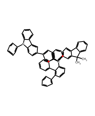 CC1(C)c2ccccc2-c2ccc(N(c3ccc(-c4ccc5c(c4)c4ccccc4n5-c4ccccc4)cc3)c3cccc(-c4ccccc4)c3-c3ccccc3-c3ccccc3)cc21